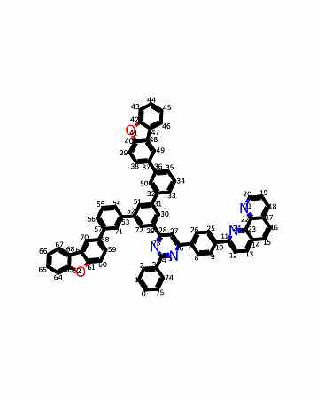 c1ccc(-c2nc(-c3ccc(-c4ccc5ccc6cccnc6c5n4)cc3)cc(-c3cc(-c4cccc(-c5ccc6oc7ccccc7c6c5)c4)cc(-c4cccc(-c5ccc6oc7ccccc7c6c5)c4)c3)n2)cc1